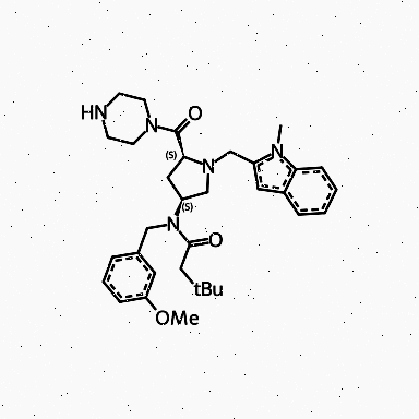 COc1cccc(CN(C(=O)CC(C)(C)C)[C@H]2C[C@@H](C(=O)N3CCNCC3)N(Cc3cc4ccccc4n3C)C2)c1